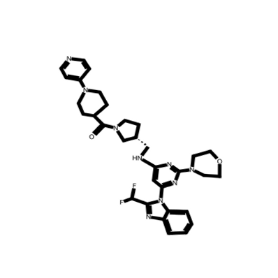 O=C(C1CCN(c2ccncc2)CC1)N1CC[C@H](CNc2cc(-n3c(C(F)F)nc4ccccc43)nc(N3CCOCC3)n2)C1